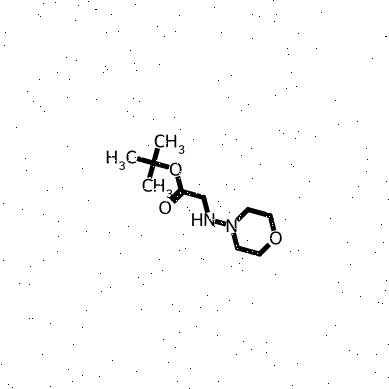 CC(C)(C)OC(=O)CNN1CCOCC1